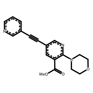 COC(=O)c1cc(C#Cc2cccnc2)cnc1N1CCOCC1